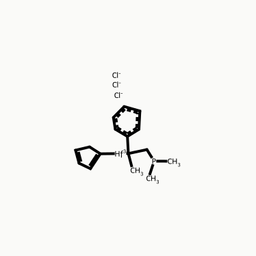 CP(C)C[C](C)([Hf+3][C]1=CC=CC1)c1ccccc1.[Cl-].[Cl-].[Cl-]